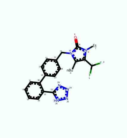 CCCCc1c(C(F)F)n(CC)c(=O)n1Cc1ccc(-c2ccccc2-c2nnn[nH]2)cc1